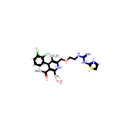 CCOC(=O)C1=C(COCCNC(=N)Nc2nccs2)NC(C)=C(C(=O)OC)C1c1cccc(Cl)c1Cl.O